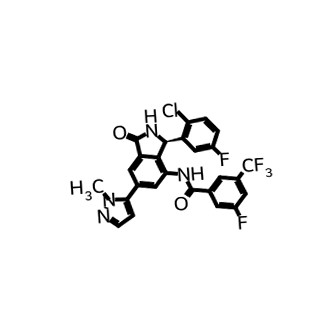 Cn1nccc1-c1cc(NC(=O)c2cc(F)cc(C(F)(F)F)c2)c2c(c1)C(=O)N[C@H]2c1cc(F)ccc1Cl